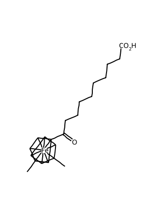 C[C]12[CH]3[CH]4[CH]5[CH]1[Fe]45321678[CH]2[CH]1[C]6(C(=O)CCCCCCCCC(=O)O)[CH]7[C]28C